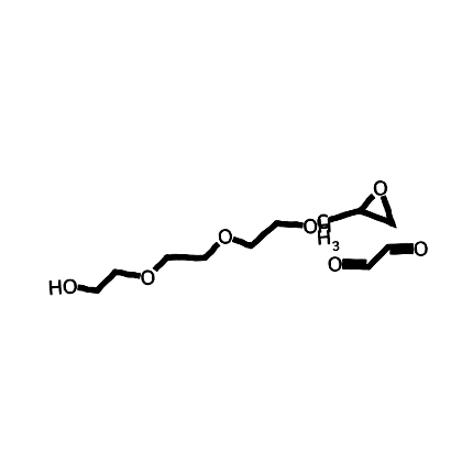 CC1CO1.O=CC=O.OCCOCCOCCO